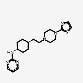 c1cnc(N[C@H]2CC[C@H](CCN3CCN(c4nccs4)CC3)CC2)nc1